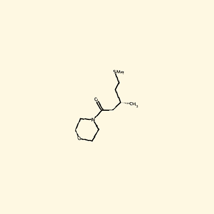 CSCC[C@H](C)CC(=O)N1CCOCC1